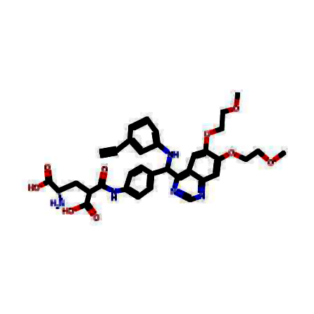 C#Cc1cccc(NC(c2ccc(NC(=O)C(C[C@H](N)C(=O)O)C(=O)O)cc2)c2ncnc3cc(OCCOC)c(OCCOC)cc23)c1